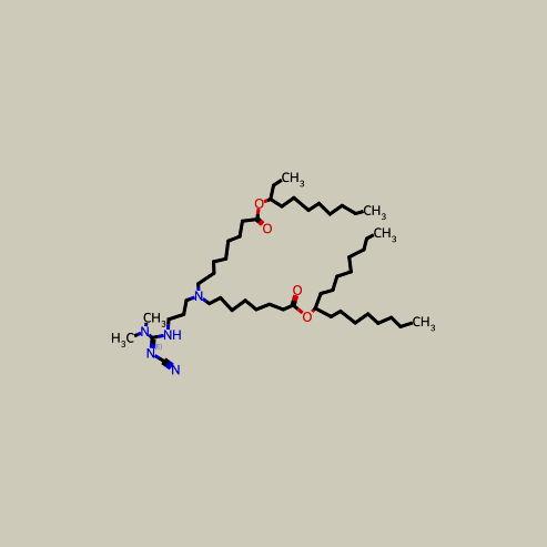 CCCCCCCCC(CC)OC(=O)CCCCCCCN(CCCCCCCC(=O)OC(CCCCCCCC)CCCCCCCC)CCCN/C(=N\C#N)N(C)C